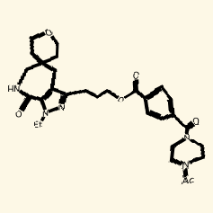 CCn1nc(CCCOC(=O)c2ccc(C(=O)N3CCN(C(C)=O)CC3)cc2)c2c1C(=O)NCC1(CCOCC1)C2